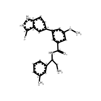 COc1cc(C(=O)NC(CN)c2cccc(C)c2)cc(-c2ccc3[nH]nc(F)c3c2)c1